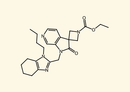 CCCCn1c(CN2C(=O)C3(CN(C(=O)OCC)C3)c3ccncc32)nc2c1CCCC2